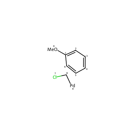 COc1c[c]ccc1.Cl[CH2][Pd]